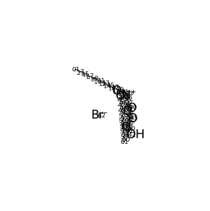 CCCCCCCCC=CCCCCCCCCOCC(C[N+](C)(C)CCCCC(=O)OCCC(=O)CCC(=O)CCO)OCCCCCCCCC=CCCCCCCCC.[Br-]